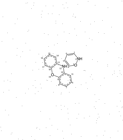 C1=CNOC=C1.c1ccc2c(c1)Nc1ccccc1O2